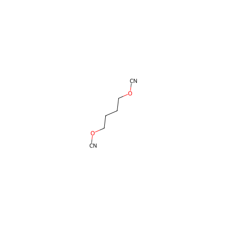 N#COCCCCOC#N